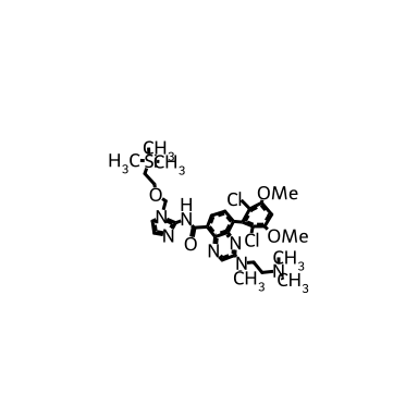 COc1cc(OC)c(Cl)c(-c2ccc(C(=O)Nc3nccn3COCC[Si](C)(C)C)c3ncc(N(C)CCN(C)C)nc23)c1Cl